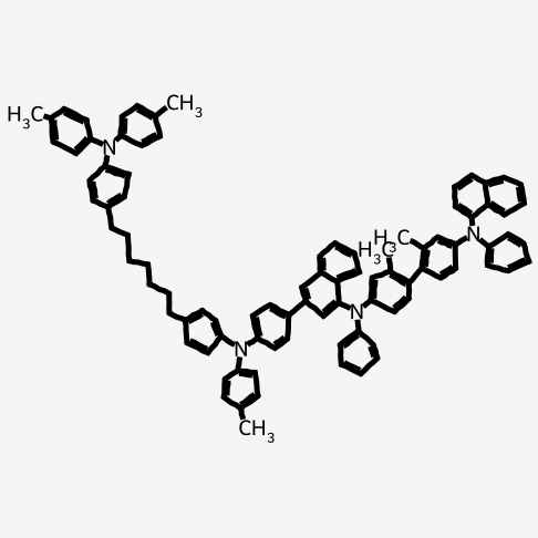 Cc1ccc(N(c2ccc(C)cc2)c2ccc(CCCCCCCc3ccc(N(c4ccc(C)cc4)c4ccc(-c5cc(N(c6ccccc6)c6ccc(-c7ccc(N(c8ccccc8)c8cccc9ccccc89)cc7C)c(C)c6)c6ccccc6c5)cc4)cc3)cc2)cc1